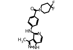 Cc1n[nH]c2ccnc(Nc3ccc(C(=O)N4CCC(F)(F)CC4)cc3)c12